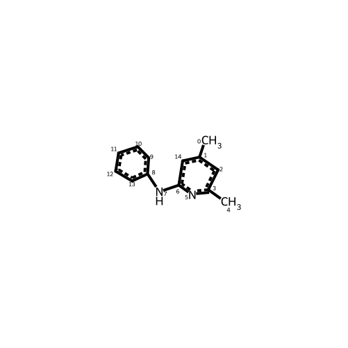 Cc1cc(C)nc(Nc2ccccc2)c1